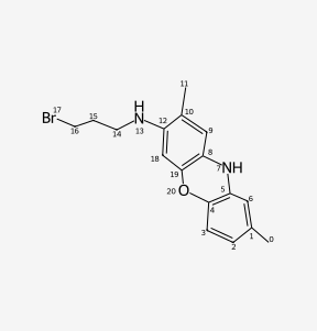 Cc1ccc2c(c1)Nc1cc(C)c(NCCCBr)cc1O2